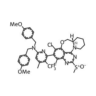 COc1ccc(CN(Cc2ccc(OC)cc2)c2cc(C)c(C(F)(F)F)c(-c3c(Cl)c4c5c(nc([S+](C)[O-])nc5c3F)N3CCCC[C@H]3CO4)n2)cc1